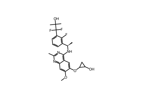 COc1cc2nc(C)nc(N[C@H](C)c3cccc(C(F)(F)C(C)(C)O)c3F)c2cc1OC1CC1O